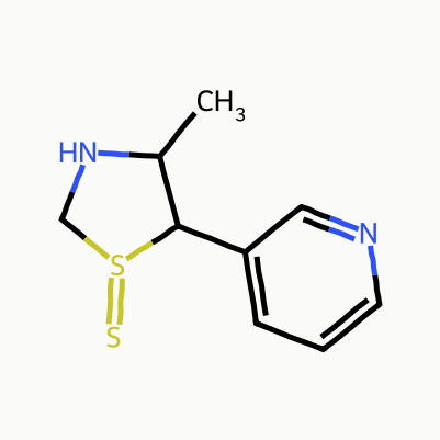 CC1NCS(=S)C1c1cccnc1